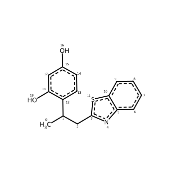 CC(Cc1nc2ccccc2s1)c1ccc(O)cc1O